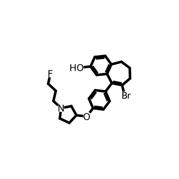 Oc1ccc2c(c1)C(c1ccc(OC3CCN(CCCF)C3)cc1)=C(Br)CCC2